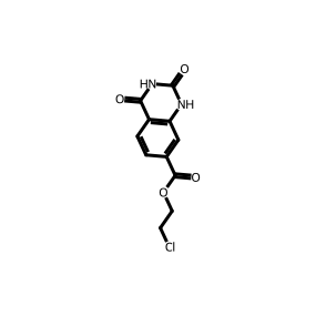 O=C(OCCCl)c1ccc2c(=O)[nH]c(=O)[nH]c2c1